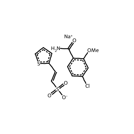 COc1cc(Cl)ccc1C(N)=O.O=S(=O)([O-])/C=C/c1cccs1.[Na+]